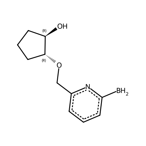 Bc1cccc(CO[C@@H]2CCC[C@H]2O)n1